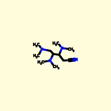 CN(C)CC(C(CC#N)N(C)C)N(C)C